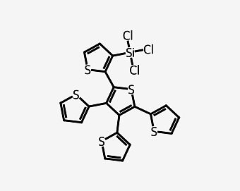 Cl[Si](Cl)(Cl)c1ccsc1-c1sc(-c2cccs2)c(-c2cccs2)c1-c1cccs1